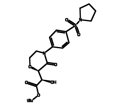 CC(C)(C)OC(=O)[C@H](O)[C@H]1OCCN(c2ccc(S(=O)(=O)N3CCCC3)cc2)C1=O